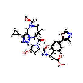 COC(=O)C[C@H](NC(=O)[C@@H]1C[C@@H](O)CN1C(=O)[C@H]1n2nnc(C3CC3)c2CN(C(C)=O)CC1(C)C)c1ccc(-c2scnc2C)cc1